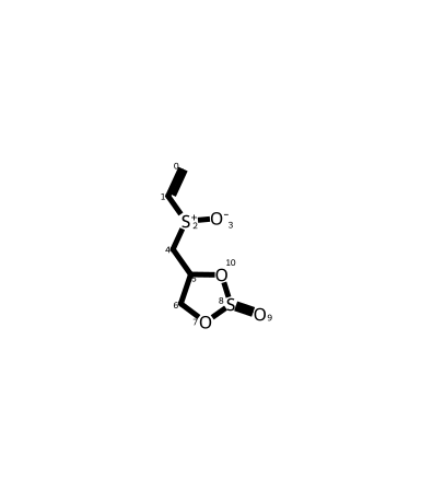 C=C[S+]([O-])CC1COS(=O)O1